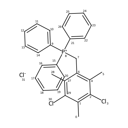 Cc1c(Cl)c(C)c(C[P+](c2ccccc2)(c2ccccc2)c2ccccc2)c(C)c1Cl.[Cl-]